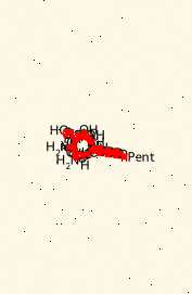 CCCCCOc1ccc(-c2ccc(-c3ccc(C(=O)N[C@H]4CCCNC(=O)[C@@H]5C[C@H](N)CN5C(=O)[C@H]([C@H](O)CCN)NC(=O)[C@H](CCc5ccc(O)cc5)NC(=O)[C@@H]5C[C@@H](O)CN5C(=O)[C@H]([C@@H](C)O)NC4=O)cc3)cc2)cc1